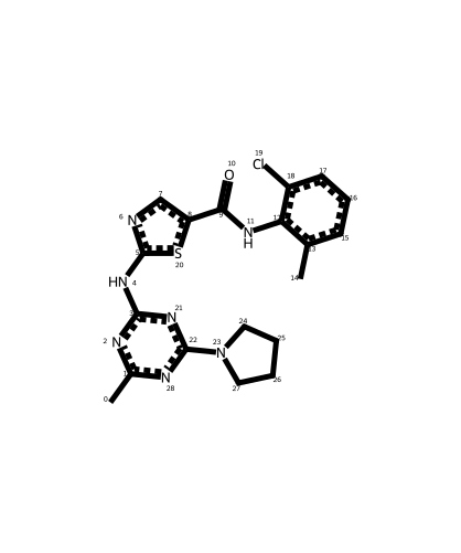 Cc1nc(Nc2ncc(C(=O)Nc3c(C)cccc3Cl)s2)nc(N2CCCC2)n1